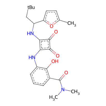 Cc1ccc(C(CC(C)(C)C)Nc2c(Nc3cccc(C(=O)N(C)C)c3O)c(=O)c2=O)o1